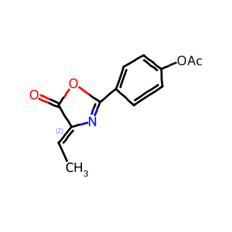 C/C=C1\N=C(c2ccc(OC(C)=O)cc2)OC1=O